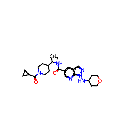 CC(NC(=O)c1cnc2c(cnn2NC2CCOCC2)c1)C1CCN(C(=O)C2CC2)CC1